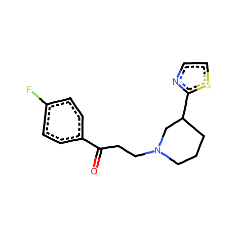 O=C(CCN1CCCC(c2nccs2)C1)c1ccc(F)cc1